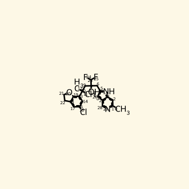 Cc1cc2[nH]c(CC(O)(CC(C)(C)c3cc(Cl)cc4c3OCC4)C(F)F)cc2cn1